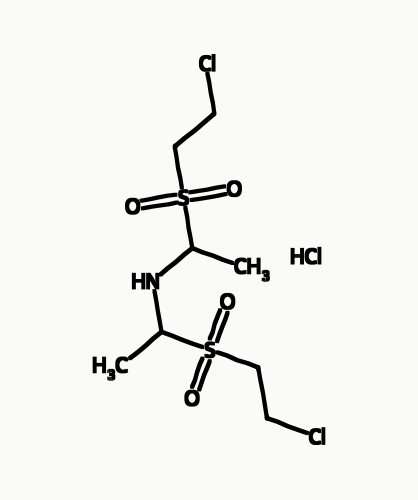 CC(NC(C)S(=O)(=O)CCCl)S(=O)(=O)CCCl.Cl